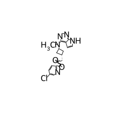 CN(c1ncnc2[nH]ccc12)[C@H]1C[C@@H](CS(=O)(=O)c2ccc(Cl)cn2)C1